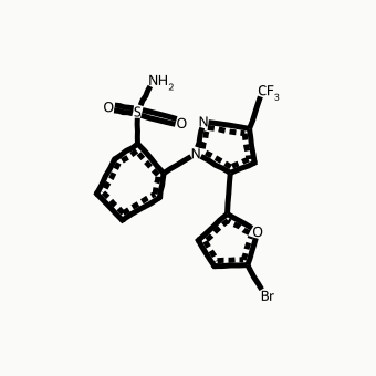 NS(=O)(=O)c1ccccc1-n1nc(C(F)(F)F)cc1-c1ccc(Br)o1